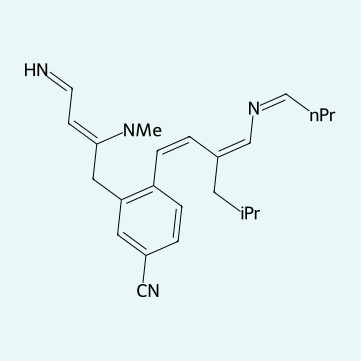 CCC\C=N/C=C(\C=C/c1ccc(C#N)cc1C/C(=C/C=N)NC)CC(C)C